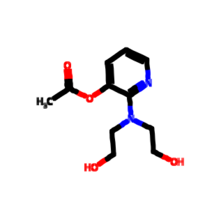 CC(=O)Oc1cccnc1N(CCO)CCO